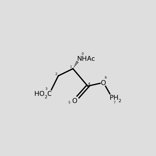 CC(=O)N[C@@H](CC(=O)O)C(=O)OP